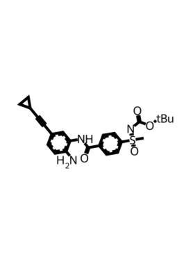 CC(C)(C)OC(=O)N=S(C)(=O)c1ccc(C(=O)Nc2cc(C#CC3CC3)ccc2N)cc1